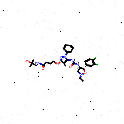 CCN1C[C@@H](NC(=O)Nc2c(C)c(OCCCC(=O)NCC(C)(C)O)nn2-c2ccccc2)[C@H](c2ccc(F)c(F)c2)O1